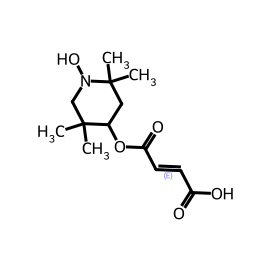 CC1(C)CN(O)C(C)(C)CC1OC(=O)/C=C/C(=O)O